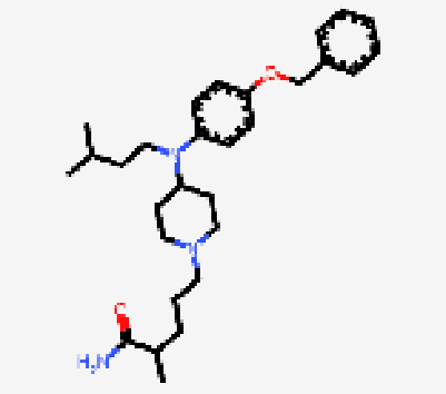 CC(C)CCN(c1ccc(OCc2ccccc2)cc1)C1CCN(C[CH]CC(C)C(N)=O)CC1